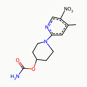 Cc1cc(N2CCC(OC(N)=O)CC2)ncc1[N+](=O)[O-]